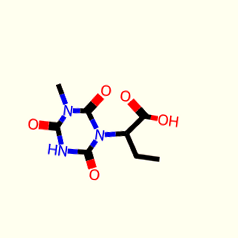 CCC(C(=O)O)n1c(=O)[nH]c(=O)n(C)c1=O